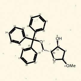 COC1C[C@H](O)[C@@H](COC(c2ccccc2)(c2ccccc2)c2ccccc2)O1